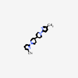 Cc1ccc(N2CCC(C3CCN(c4cccc(C#N)n4)CC3)CC2)nc1